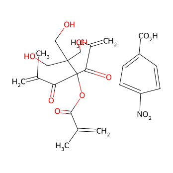 C=C(C)C(=O)OC(C(=O)C(=C)C)(C(=O)C(=C)C)C(CO)(CO)CO.O=C(O)c1ccc([N+](=O)[O-])cc1